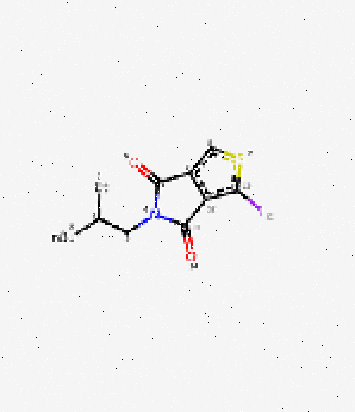 CCCCC(CC)CN1C(=O)c2csc(I)c2C1=O